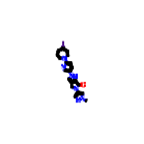 Cn1cc(N2Cc3cn(-c4ccc(N5CCCC(I)CC5)nc4)nc3C2=O)cn1